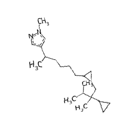 CC(CCCCC1CC1CC(C)(C(C)C)C1CC1)c1cnn(C)c1